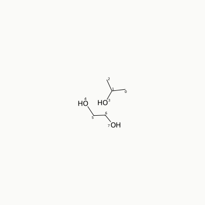 CC(C)O.OCCO